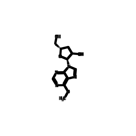 COc1ncnc2c1ncn2[C@@H]1O[C@H](CO)CC1O